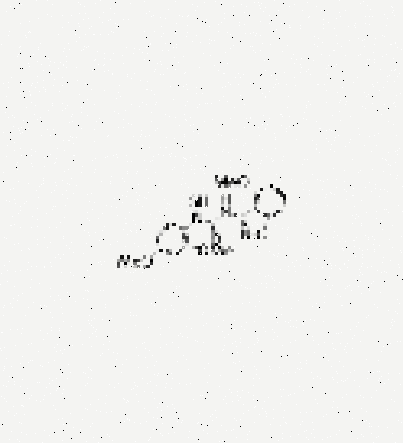 COc1ccc(N(S)C(=O)Nc2noc3cccc(OC)c23)c(OC)c1